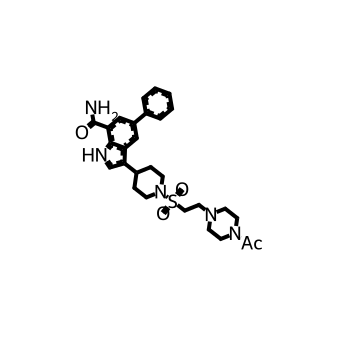 CC(=O)N1CCN(CCS(=O)(=O)N2CCC(c3c[nH]c4c(C(N)=O)cc(-c5ccccc5)cc34)CC2)CC1